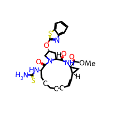 COC(=O)[C@@]12C[C@H]1/C=C\CCCCC[C@H](NC(N)=S)C(=O)N1C[C@H](Oc3nc4ccccc4s3)C[C@H]1C(=O)N2